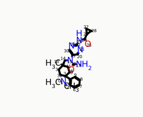 CN(C)[C@]1(c2ccccc2)CC[C@@](C)(CN(C(N)=O)c2cnc(NC(=O)C3CC3)nc2)CC1